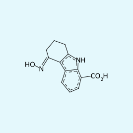 O=C(O)c1cccc2c3c([nH]c12)CCC/C3=N\O